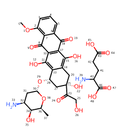 COc1cccc2c1C(=O)c1c(O)c3c(c(O)c1C2=O)C[C@@](O)(C(=O)CO)C[C@@H]3O[C@H]1C[C@H](N)[C@H](O)[C@H](C)O1.NC(CCC(=O)O)C(=O)O